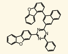 c1ccc(-c2nc(-c3cc(-c4cccc5oc6ccccc6c45)c4ccccc4c3)nc(-c3ccc4c(c3)oc3ccccc34)n2)cc1